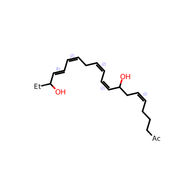 CCC(O)/C=C/C=C\C/C=C\C=C/C(O)C/C=C\CCCC(C)=O